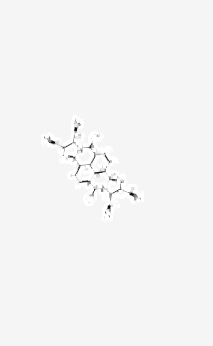 N#Cc1nc2c3ccc4c(=O)n5c(C#N)c(C#N)nc5c5ccc(c(=O)n2c1C#N)c3c45